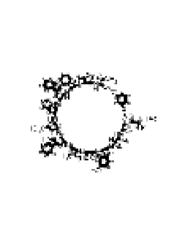 CCC[C@H](NC(C)=O)C(=O)N[C@H]1CSCc2cccc(c2)CSC[C@@H](C(N)=O)NC(=O)C([C@@H](C)O)NC(=O)[C@H](C2CCCCC2)NC(=O)[C@H](Cc2c[nH]c3ncccc23)NC(=O)[C@H](Cc2cnc[nH]2)NC(=O)[C@H](CCC(=O)O)NC(=O)[C@H](Cc2c[nH]c3ncccc23)NC(=O)[C@H]([C@@H](C)O)NC(=O)[C@H](C)N(C)C(=O)[C@H](Cc2ccc(O)cc2)NC(=O)[C@H](C(C)(C)C)NC1=O